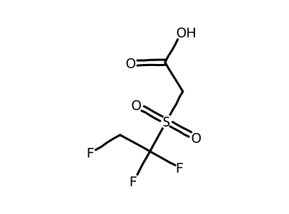 O=C(O)CS(=O)(=O)C(F)(F)CF